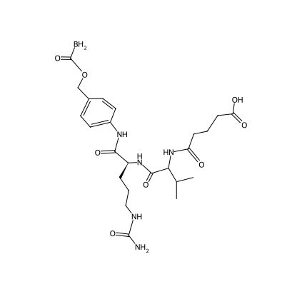 BC(=O)OCc1ccc(NC(=O)[C@H](CCCNC(N)=O)NC(=O)C(NC(=O)CCCC(=O)O)C(C)C)cc1